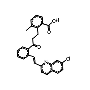 Cc1cccc(C(=O)O)c1CCC(=O)c1ccccc1C=Cc1ccc2ccc(Cl)cc2n1